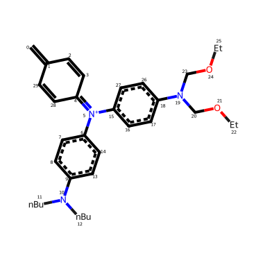 C=C1C=CC(=[N+](c2ccc(N(CCCC)CCCC)cc2)c2ccc(N(COCC)COCC)cc2)C=C1